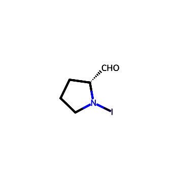 O=C[C@H]1CCCN1I